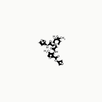 Cc1csc(C(=O)OC2COC2)c1NC(=O)C[N+]1(CC(=O)Nc2ccon2)CCC(C)(C)CC1